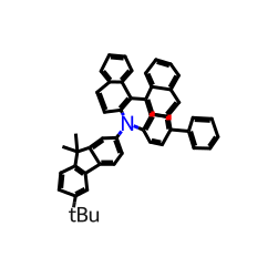 CC(C)(C)c1ccc2c(c1)-c1ccc(N(c3ccc(-c4ccccc4)cc3)c3ccc4ccccc4c3-c3cccc4ccccc34)cc1C2(C)C